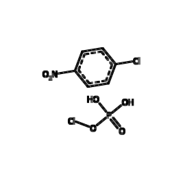 O=P(O)(O)OCl.O=[N+]([O-])c1ccc(Cl)cc1